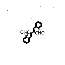 O=CC(=Cc1ccccc1Cl)C(C=O)=Cc1ccccc1Cl